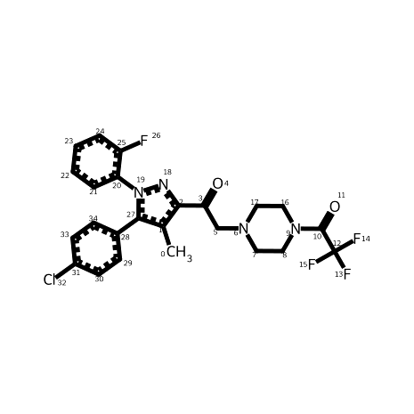 Cc1c(C(=O)CN2CCN(C(=O)C(F)(F)F)CC2)nn(-c2ccccc2F)c1-c1ccc(Cl)cc1